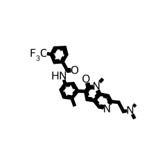 Cc1ccc(NC(=O)c2cccc(C(F)(F)F)c2)cc1-c1cc2cnc(CCN(C)C)cc2n(C)c1=O